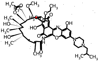 CCOc1c(C)c(O)c2c(=O)c3c4oc5cc(N6CCN(CC(C)C)CC6)cc(O)c5nc-4c2c1C(=O)O/C=C/[C@H](OC)[C@@H](C)[C@@H](OC(C)=O)[C@H](C)[C@H](O)[C@H](C)[C@@H](O)[C@@H](C)/C=C/C=C(/C)C(=O)N3